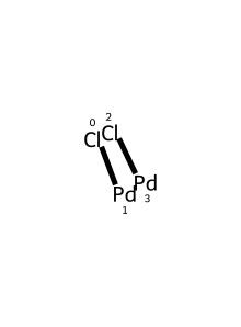 [Cl][Pd].[Cl][Pd]